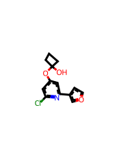 OC1(Oc2cc(Cl)nc(-c3ccoc3)c2)CCC1